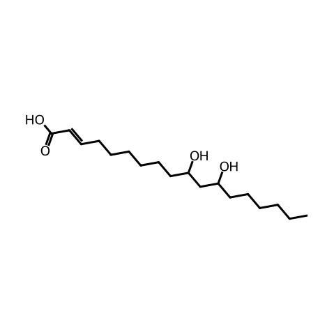 CCCCCCC(O)CC(O)CCCCCCC=CC(=O)O